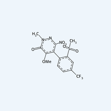 COc1c(-c2ccc(C(F)(F)F)cc2S(C)(=O)=O)c([N+](=O)[O-])nn(C)c1=O